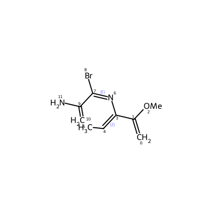 C=C(OC)C(=C/C)/N=C(/Br)C(=C)N